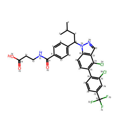 CC(C)CC(c1ccc(C(=O)NCCC(=O)O)cc1)n1ncc2c(Cl)c(-c3ccc(C(F)(F)F)cc3Cl)ccc21